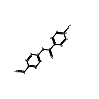 O=Cc1ccc(OC(=O)c2ccc(I)cc2)cc1